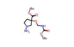 CC(C)(C)OC(=O)NCOC1(C(=O)OC(C)(C)C)CCN(N)C1